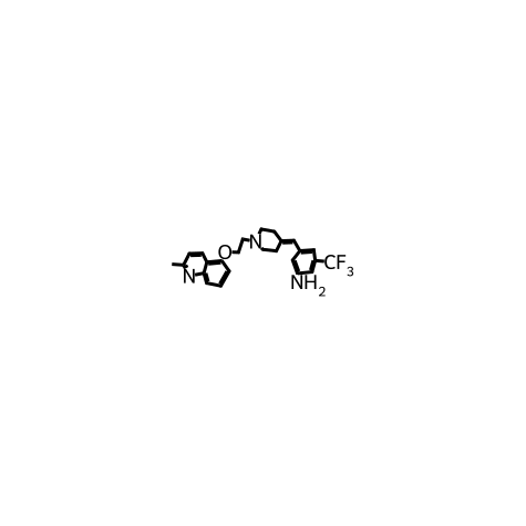 Cc1ccc2c(OCCN3CCC(=Cc4cc(N)cc(C(F)(F)F)c4)CC3)cccc2n1